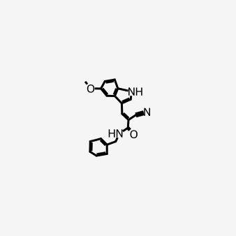 COc1ccc2[nH]cc(/C=C(\C#N)C(=O)NCc3ccccc3)c2c1